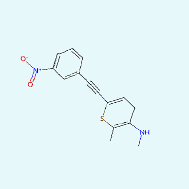 CNC1=C(C)SC(C#Cc2cccc([N+](=O)[O-])c2)=CC1